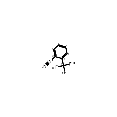 N#[N+]c1ccccc1C(F)(F)F